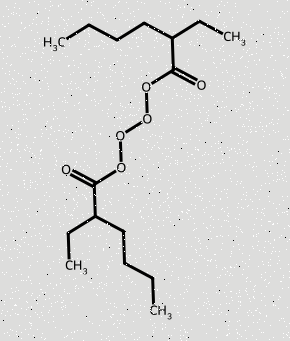 CCCCC(CC)C(=O)OOOOC(=O)C(CC)CCCC